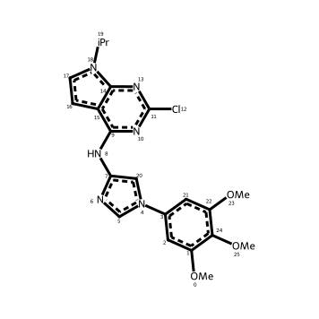 COc1cc(-n2cnc(Nc3nc(Cl)nc4c3ccn4C(C)C)c2)cc(OC)c1OC